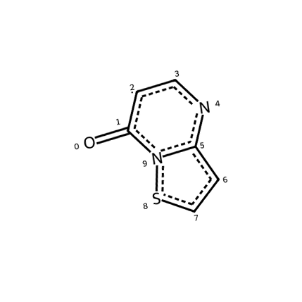 O=c1[c]cnc2ccsn12